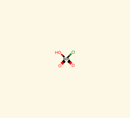 [O]=[Mo](=[O])([OH])[Cl]